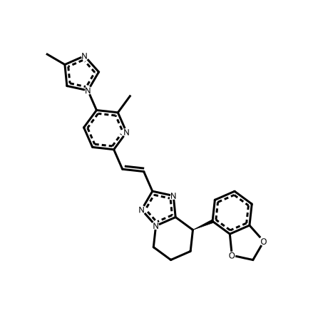 Cc1cn(-c2ccc(/C=C/c3nc4n(n3)CCC[C@@H]4c3cccc4c3OCO4)nc2C)cn1